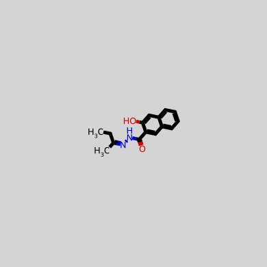 CCC(C)=NNC(=O)c1cc2ccccc2cc1O